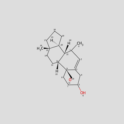 CC1C=C2CC(O)CC[C@]2(C=O)[C@@H]2CC[C@]3(C)CCC[C@H]3[C@H]12